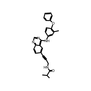 Cc1cc(Nc2ncnc3ccc(C#CCNC(=O)C(C)C)cc23)ccc1Oc1ccccc1